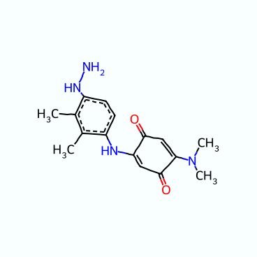 Cc1c(NN)ccc(NC2=CC(=O)C(N(C)C)=CC2=O)c1C